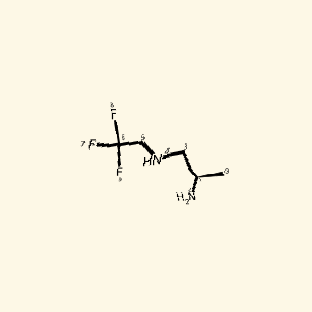 C[C@@H](N)CNCC(F)(F)F